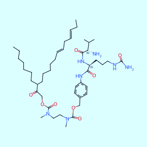 CCC=CCC=CCCCCCC(CCCCCCC)C(=O)COC(=O)N(C)CCN(C)C(=O)OCc1ccc(NC(=O)[C@H](CCCNC(N)=O)NC(=O)[C@@H](N)C(C)C)cc1